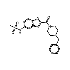 CS(=O)(=O)Nc1ccc2oc(C(=O)N3CCC(Cc4ccccc4)CC3)cc2c1